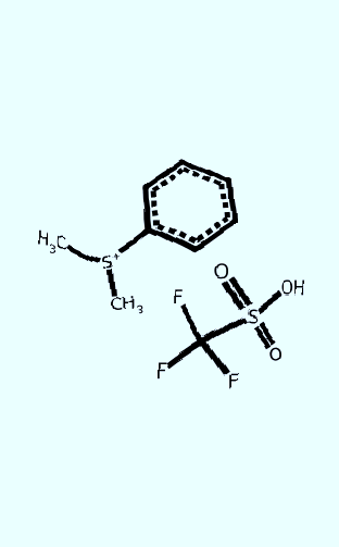 C[S+](C)c1ccccc1.O=S(=O)(O)C(F)(F)F